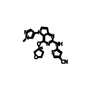 Cn1cc(-n2ccc3nc(Nc4cc(C#N)cs4)nc(O[C@H]4CCOC4)c32)cn1